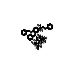 [2H]C([2H])(OCc1ccccc1)c1ccc(OCc2ccccc2)c([C@H](CCN(C([2H])(C([2H])([2H])[2H])C([2H])([2H])[2H])C([2H])(C([2H])([2H])[2H])C([2H])([2H])[2H])c2ccccc2)c1